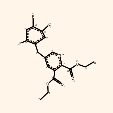 CCOC(=O)c1cc(Cc2cc(Cl)c(F)cc2F)cnc1C(=O)OCC